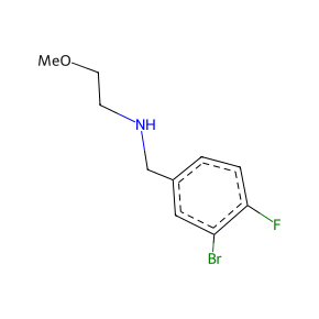 COCCNCc1ccc(F)c(Br)c1